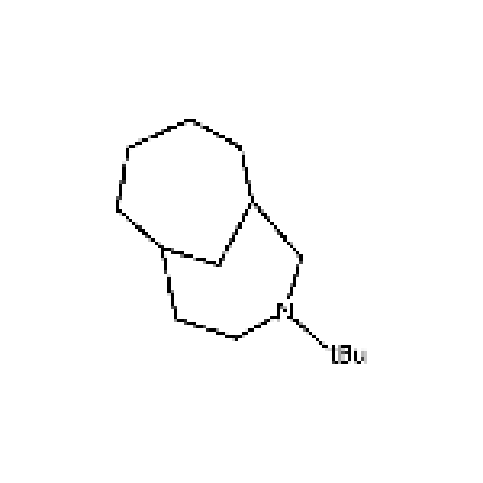 CC(C)(C)N1CCC2CCCCC(C2)C1